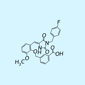 COc1cccc(/C=C2\NC(=O)N(Cc3ccc(F)cc3)C2=O)c1OCc1cccc(C(=O)O)c1